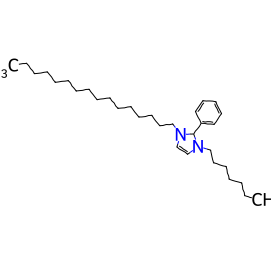 CCCCCCCCCCCCCCCCN1C=CN(CCCCCCC)C1c1ccccc1